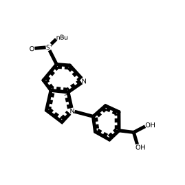 CCCC[S+]([O-])c1cnc2c(ccn2-c2ccc(C(O)O)cc2)c1